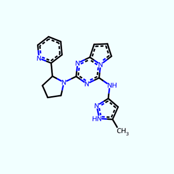 Cc1cc(Nc2nc(N3CCCC3c3ccccn3)nc3cccn23)n[nH]1